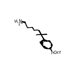 CCCCCCCCc1ccc(C(C)(C)CCC[CH]CN)cc1